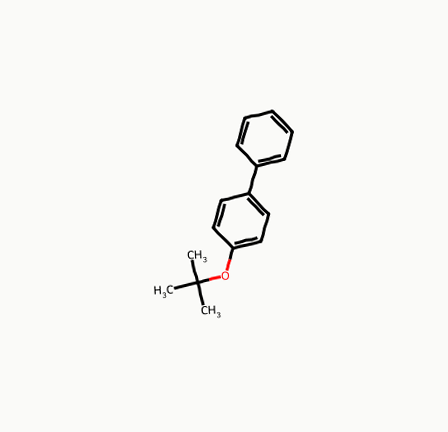 CC(C)(C)Oc1ccc(-c2ccccc2)cc1